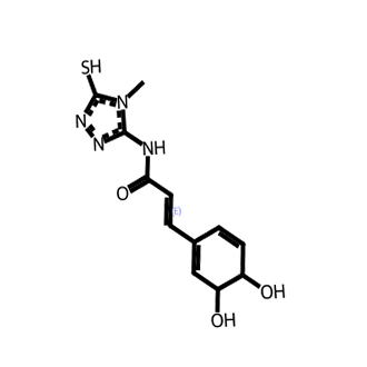 Cn1c(S)nnc1NC(=O)/C=C/C1=CC(O)C(O)C=C1